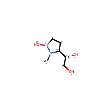 CC(=O)N1[C@H]([C@H](O)CO)CCN1O